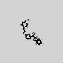 CN1CCN(CCOc2nccc(C(C#N)c3nc4ccccc4s3)n2)CC1